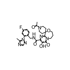 CC(=O)N1CCC2(CC1)OCCCn1c2nc(C(=O)NCc2ccc(F)cc2-n2ncnc2C)c(O)c1=O